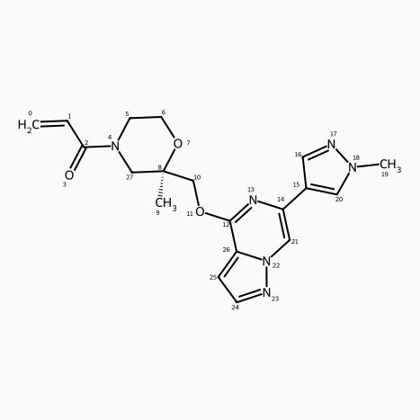 C=CC(=O)N1CCO[C@@](C)(COc2nc(-c3cnn(C)c3)cn3nccc23)C1